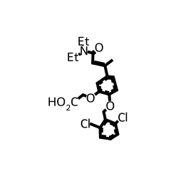 CCN(CC)C(=O)C=C(C)c1ccc(OCc2c(Cl)cccc2Cl)c(OCC(=O)O)c1